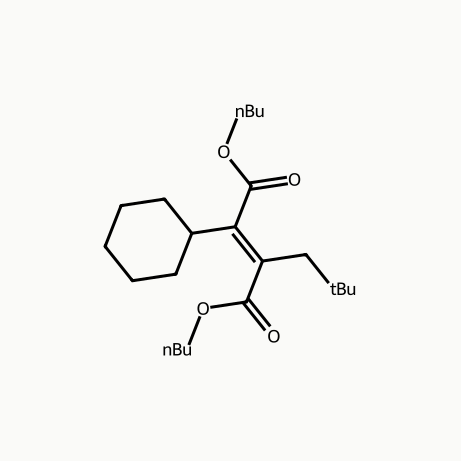 CCCCOC(=O)C(CC(C)(C)C)=C(C(=O)OCCCC)C1CCCCC1